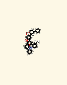 CC12CC(c3ccccc3)C=CC1Oc1cc3oc4ccc(-c5c(C#N)cccc5-n5c6ccccc6c6ccccc65)cc4c3cc12